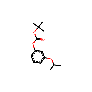 CC(C)Oc1c[c]cc(OC(=O)OC(C)(C)C)c1